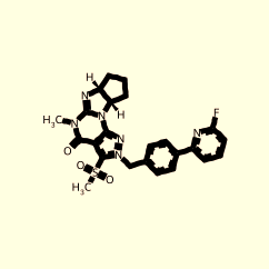 CN1C(=O)c2c(nn(Cc3ccc(-c4cccc(F)n4)cc3)c2S(C)(=O)=O)N2C1=N[C@@H]1CCC[C@@H]12